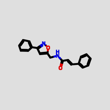 O=C(C=Cc1ccccc1)NCc1cc(-c2ccccc2)no1